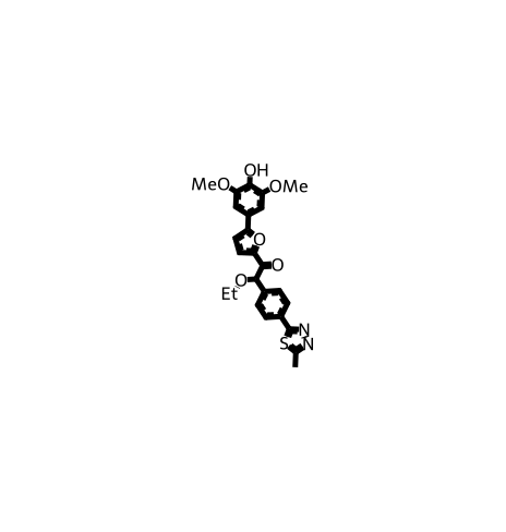 CCOC(C(=O)c1ccc(-c2cc(OC)c(O)c(OC)c2)o1)c1ccc(-c2nnc(C)s2)cc1